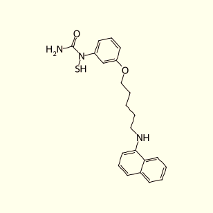 NC(=O)N(S)c1cccc(OCCCCCNc2cccc3ccccc23)c1